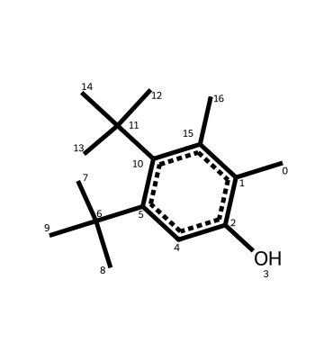 Cc1c(O)cc(C(C)(C)C)c(C(C)(C)C)c1C